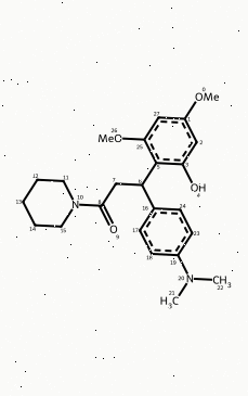 COc1cc(O)c(C(CC(=O)N2CCCCC2)c2ccc(N(C)C)cc2)c(OC)c1